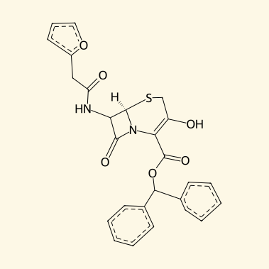 O=C(Cc1ccco1)NC1C(=O)N2C(C(=O)OC(c3ccccc3)c3ccccc3)=C(O)CS[C@H]12